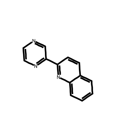 c1ccc2nc(-c3cnccn3)ccc2c1